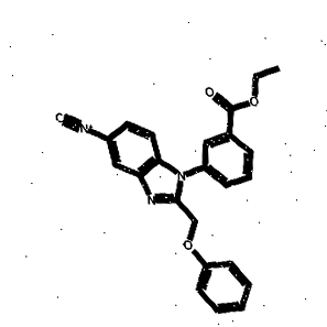 [C-]#[N+]c1ccc2c(c1)nc(COc1ccccc1)n2-c1cccc(C(=O)OCC)c1